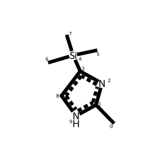 Cc1nc([Si](C)(C)C)c[nH]1